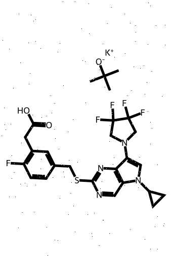 CC(C)(C)[O-].O=C(O)Cc1cc(CSc2ncc3c(n2)c(N2CC(F)(F)C(F)(F)C2)cn3C2CC2)ccc1F.[K+]